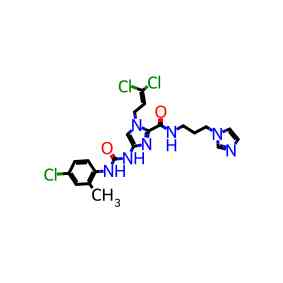 Cc1cc(Cl)ccc1NC(=O)Nc1cn(CC=C(Cl)Cl)c(C(=O)NCCCn2ccnc2)n1